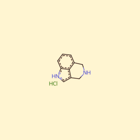 Cl.c1cc2c3c(c[nH]c3c1)CNC2